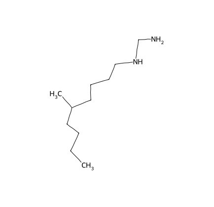 CCCCC(C)CCCCNCN